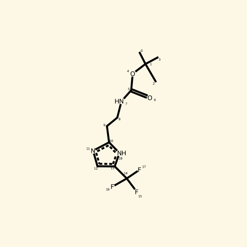 CC(C)(C)OC(=O)NCCc1ncc(C(F)(F)F)[nH]1